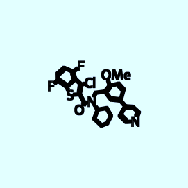 COc1ccc(-c2ccncc2)cc1CN(C(=O)c1sc2c(F)ccc(F)c2c1Cl)C1CCCCC1